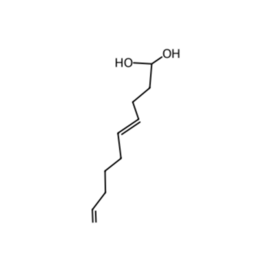 C=CCCCC=CCCC(O)O